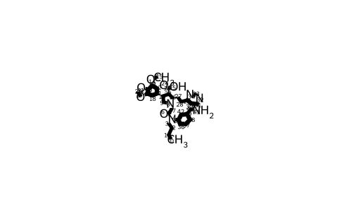 CCCCN(C(=O)CN1C[C@H](c2cc(OC)c3c(c2)OCO3)[C@@H](C(=O)O)[C@@H]1CCc1ccncn1)c1cccc(CN)c1